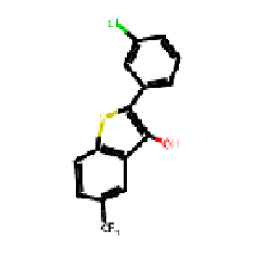 Oc1c(-c2cccc(Cl)c2)sc2ccc(C(F)(F)F)cc12